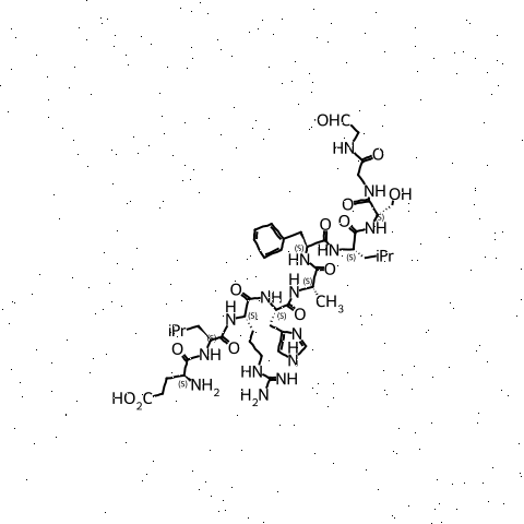 CC(C)C[C@H](NC(=O)[C@H](Cc1ccccc1)NC(=O)[C@H](C)NC(=O)[C@H](Cc1c[nH]cn1)NC(=O)[C@H](CCCNC(=N)N)NC(=O)[C@H](CC(C)C)NC(=O)[C@@H](N)CCC(=O)O)C(=O)N[C@@H](CO)C(=O)NCC(=O)NC[C]=O